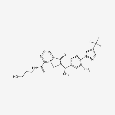 Cc1cc(C(C)N2Cc3c(ccnc3C(=O)NCCCO)C2=O)cnc1-n1cc(C(F)(F)F)cn1